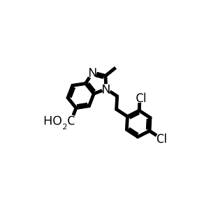 Cc1nc2ccc(C(=O)O)cc2n1CCc1ccc(Cl)cc1Cl